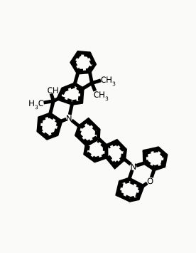 CC1(C)c2ccccc2-c2cc3c(cc21)N(c1ccc2c(ccc4cc(N5c6ccccc6Oc6ccccc65)ccc42)c1)c1ccccc1C3(C)C